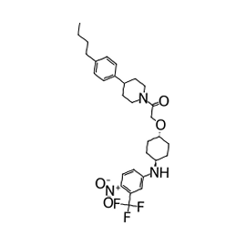 CCCCc1ccc(C2CCN(C(=O)CO[C@H]3CC[C@H](Nc4ccc([N+](=O)[O-])c(C(F)(F)F)c4)CC3)CC2)cc1